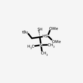 CO[SiH](OC)[C@](S)(CC(C)(C)C)[Si](C)(C)C